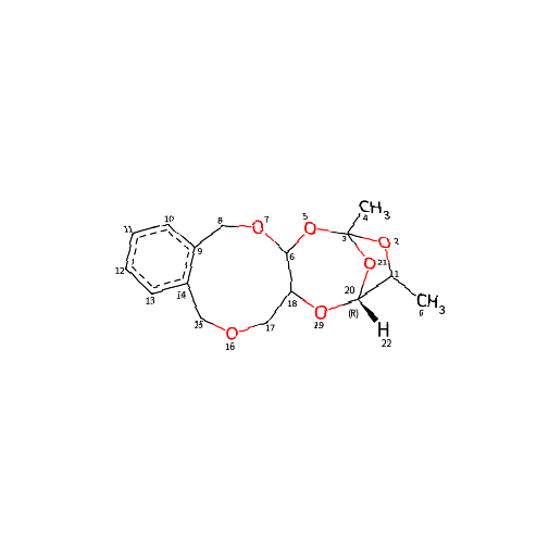 CC1OC2(C)OC3OCc4ccccc4COCC3O[C@@H]1O2